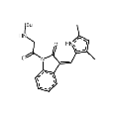 Cc1cc(C)c(/C=C2\C(=O)N(C(=O)CNC(C)(C)C)c3ccccc32)[nH]1